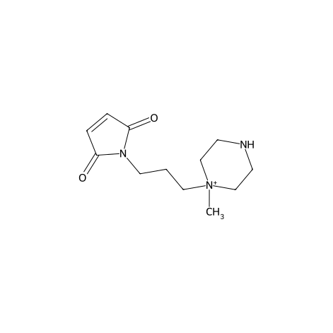 C[N+]1(CCCN2C(=O)C=CC2=O)CCNCC1